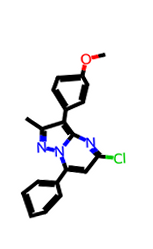 COc1ccc(-c2c(C)nn3c(-c4ccccc4)cc(Cl)nc23)cc1